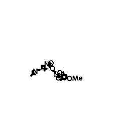 COc1cc(C)c(S(=O)(=O)N(C)CCOCC(=O)N(C)[C@H]2C[C@@H](CCN3CC(C)C3)C2(C)C)c(C)c1